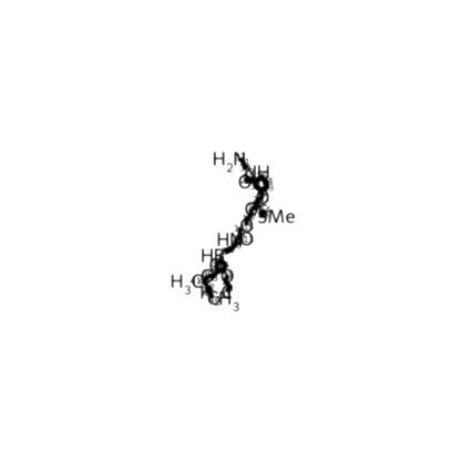 C=CCO[C@@H]1C[C@H](BC#CCNC(=O)COCCOC(COc2cccc(C(=O)NCCN)c2)SSC)OC1COC(C)C#CC